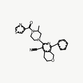 CC1CN(c2nc(-c3ccccc3)c3c(c2C#N)CCOC3)CCN1C(=O)c1cscn1